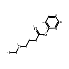 O=C(CCCOCI)Sc1ccccc1